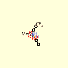 COC(=O)C(CNS(=O)(=O)c1ccc(-c2ccccc2)cc1)NC(=O)c1ccc(-c2ccc(C(F)(F)F)cc2)cc1